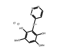 COc1cc(OC)c(O)[c]([Zr+2][c]2ccnnn2)c1O.[Cl-].[Cl-]